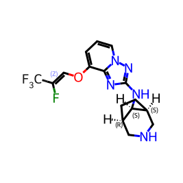 F/C(=C\Oc1cccn2nc(N[C@@H]3[C@@H]4CC[C@H]3CNC4)nc12)C(F)(F)F